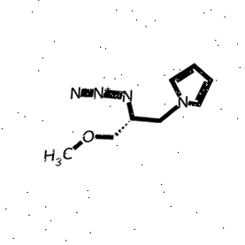 COC[C@@H](Cn1cccc1)N=[N+]=[N-]